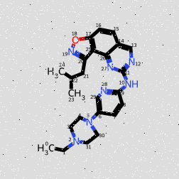 CCN1CCN(c2ccc(Nc3ncc4ccc5onc(CC(C)C)c5c4n3)nc2)CC1